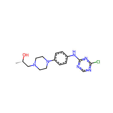 C[C@H](O)CN1CCN(c2ccc(Nc3ncnc(Cl)n3)cc2)CC1